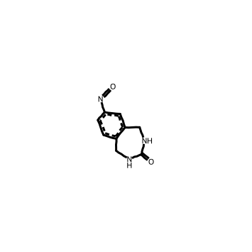 O=Nc1ccc2c(c1)CNC(=O)NC2